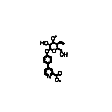 C=CC1C(CO)OC(Oc2ccc(-c3ccnc(C(=O)OC)c3)cc2)C(O)C1OC